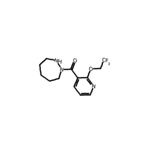 O=C(c1cccnc1OCC(F)(F)F)N1CCCCCN1